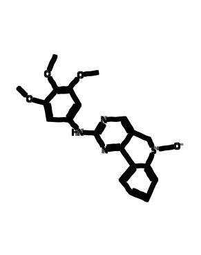 COc1cc(Nc2ncc3c(n2)-c2ccccc2[S+]([O-])C3)cc(OC)c1OC